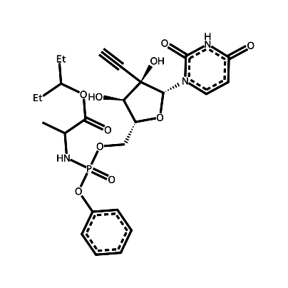 C#C[C@@]1(O)[C@H](O)[C@@H](COP(=O)(NC(C)C(=O)OC(CC)CC)Oc2ccccc2)O[C@H]1n1ccc(=O)[nH]c1=O